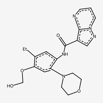 CCc1cc(NC(=O)c2cnn3cccnc23)c(N2CCOCC2)cc1OCO